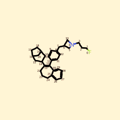 FCCCN1CC(Cc2ccc(C3=C(C4CC5CCC(C5)C4)CCCc4ccccc43)cc2)C1